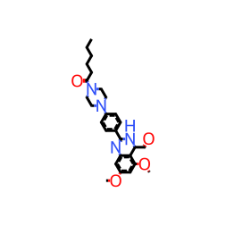 CCCCCC(=O)N1CCN(c2ccc(C3=Nc4cc(OC)cc(OC)c4C(C=O)N3)cc2)CC1